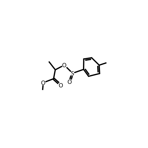 COC(=O)C(C)OS(=O)c1ccc(C)cc1